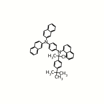 CC(C)(C)c1ccc(C(C)(C)N(c2ccc(N(c3ccc4ccccc4c3)c3ccc4ccccc4c3)cc2)c2cccc3ccccc23)cc1